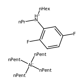 CCCCCC[NH+](CCC)c1cc(F)ccc1F.CCCC[CH2][Al-]([CH2]CCCC)([CH2]CCCC)[CH2]CCCC